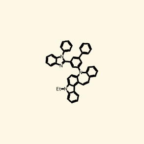 CCn1c2ccccc2c2c3c(ccc21)N(c1cc(-c2ccccc2)cc(-c2nc4ccccc4n2-c2ccccc2)c1)c1ccccc1C=C3